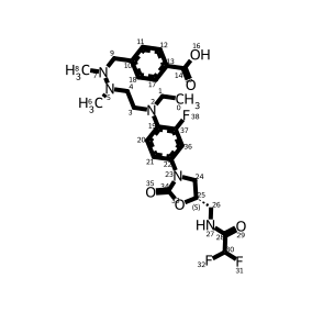 CCN(CCN(C)N(C)Cc1ccc(C(=O)O)cc1)c1ccc(N2C[C@H](CNC(=O)C(F)F)OC2=O)cc1F